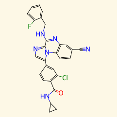 N#Cc1ccc2c(c1)nc(NCc1ccccc1F)c1ncc(-c3ccc(C(=O)NC4CC4)c(Cl)c3)n12